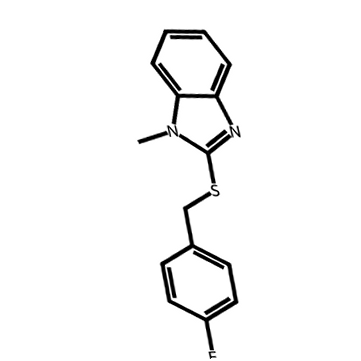 Cn1c(SCc2ccc(F)cc2)nc2ccccc21